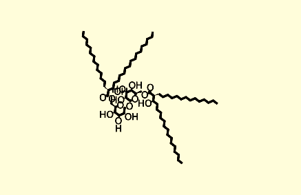 CCCCCCCCCCCCCCC[C@@H](O)[C@@H](CCCCCCCCCCCCCC)C(=O)OC[C@H]1O[C@H](O[C@H]2O[C@H](COC(=O)[C@H](CCCCCCCCCCCCCC)[C@H](O)CCCCCCCCCCCCCCC)[C@@H](O)[C@H](O)[C@H]2O)[C@H](O)[C@@H](O)[C@@H]1O